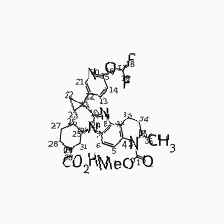 COC(=O)N1c2ccc3c(nc(C4(c5ccc(OC(F)F)nc5)CC4)n3[C@@H]3CCC[C@@H](C(=O)O)C3)c2CC[C@@H]1C